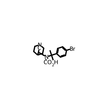 CC(C)(c1ccc(Br)cc1)N(C(=O)O)C1CN2CCC1CC2